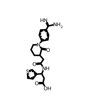 N=C(N)c1ccc(N2CCCC(CC(=O)NC(CC(=O)O)c3ccsc3)C2=O)cc1